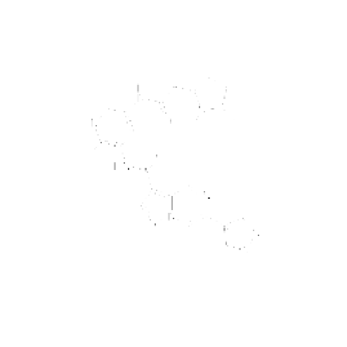 CCN1C(C)CCC1CC(=O)Nc1cnc(C)c(NC(=O)c2cnn3cc(-c4cnn(C)c4)ncc23)c1